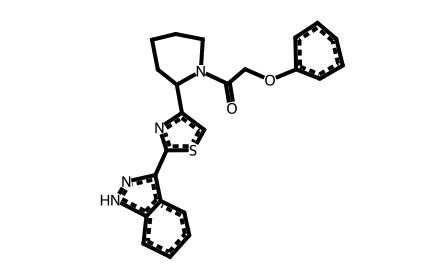 O=C(COc1ccccc1)N1CCCCC1c1csc(-c2n[nH]c3ccccc23)n1